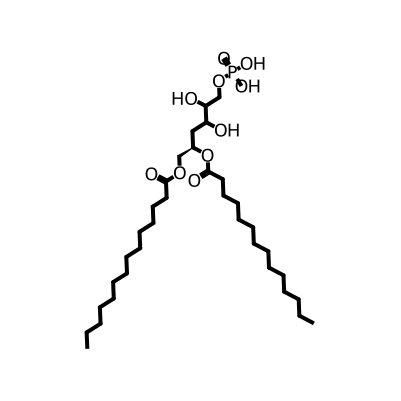 CCCCCCCCCCCCCC(=O)OC[C@@H](CC(O)C(O)COP(=O)(O)O)OC(=O)CCCCCCCCCCCCC